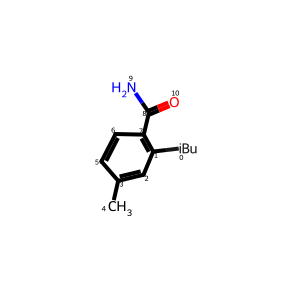 CCC(C)c1cc(C)ccc1C(N)=O